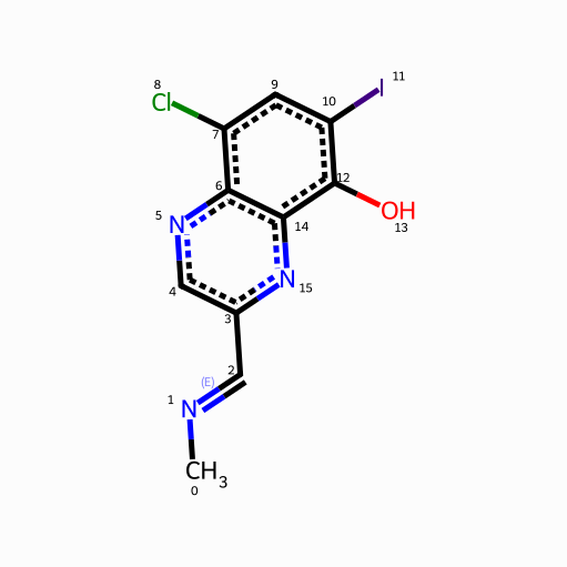 C/N=C/c1cnc2c(Cl)cc(I)c(O)c2n1